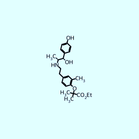 CCOC(=O)C(C)(C)Oc1ccc(CCN[C@@H](C)[C@H](O)c2ccc(O)cc2)cc1C